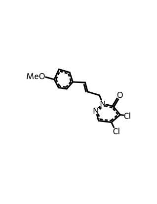 COc1ccc(/C=C/Cn2ncc(Cl)c(Cl)c2=O)cc1